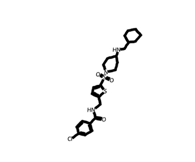 O=C(NCc1ccc(S(=O)(=O)N2CCC(NCC3CCCCC3)CC2)s1)c1ccc(Cl)cc1